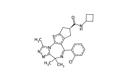 Cc1nnc2n1-c1sc3c(c1C(c1ccccc1Cl)=NC2(C)C)C[C@H](C(=O)NC1CCC1)C3